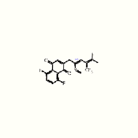 C=N/C(=C\C(=C(C)C)C(F)(F)F)CC1=CC(=O)c2c(F)ccc(F)c2C1=O